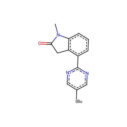 CN1C(=O)Cc2c(-c3ncc(C(C)(C)C)cn3)cccc21